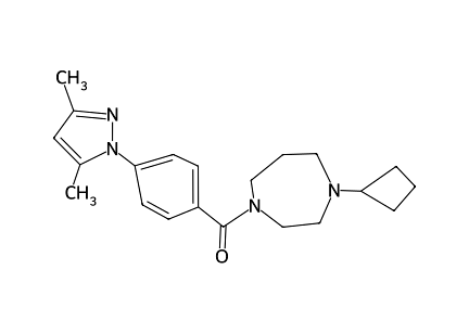 Cc1cc(C)n(-c2ccc(C(=O)N3CCCN(C4CCC4)CC3)cc2)n1